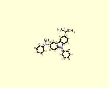 CC(C)c1ccc2c(c1)c1cc(N(C)c3ccccc3)ccc1n2-c1ccccc1